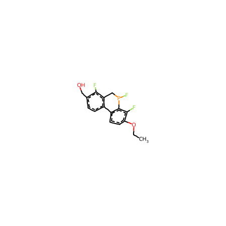 CCOc1ccc2c(c1F)P(F)Cc1c-2ccc(CO)c1F